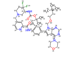 CC(C)(C)OC(=O)N[C@H]1CN(Cc2ccnc(C(=O)Nc3ccc(-c4cc5c(N6CCOCC6)ncnc5n4COCC[Si](C)(C)C)cc3)c2)CCC1(F)F